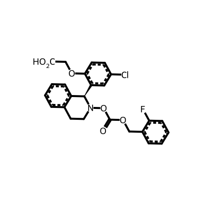 O=C(O)COc1ccc(Cl)cc1[C@@H]1c2ccccc2CCN1OC(=O)OCc1ccccc1F